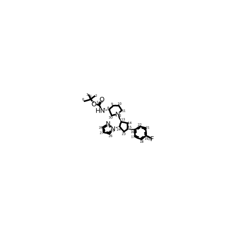 CC(C)(C)OC(=O)N[C@@H]1CCCN([C@H]2C[C@@H](c3ccc(F)cc3)C[C@@H]2n2cccn2)C1